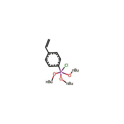 C=Cc1ccc(P(Cl)(OCCCC)(OCCCC)OCCCC)cc1